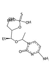 CC[C@H](OC(C)n1ccc(N)nc1=O)C(CO)OP(O)(=S)OC